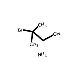 CC(C)(Br)CO.N